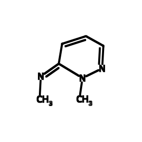 C/N=c1/cccnn1C